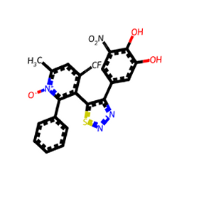 Cc1cc(C(F)(F)F)c(-c2snnc2-c2cc(O)c(O)c([N+](=O)[O-])c2)c(-c2ccccc2)[n+]1[O-]